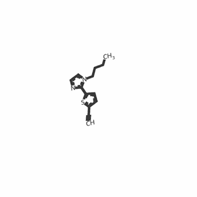 C#Cc1ccc(-c2nccn2CCCC)s1